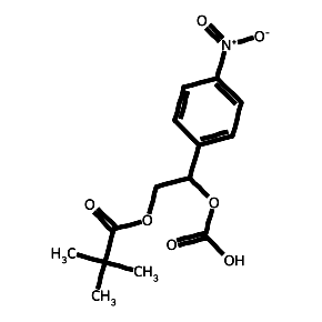 CC(C)(C)C(=O)OCC(OC(=O)O)c1ccc([N+](=O)[O-])cc1